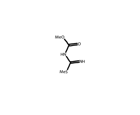 COC(=O)NC(=N)SC